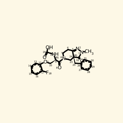 CN1N=C2CCN(C(=O)[C@@H](COc3ccccc3F)NC(=O)O)C[C@@]2(Cc2ccccc2)C1=O